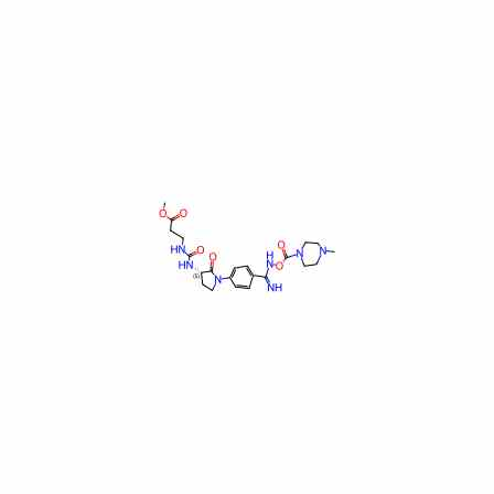 COC(=O)CCNC(=O)N[C@H]1CCN(c2ccc(C(=N)NOC(=O)N3CCN(C)CC3)cc2)C1=O